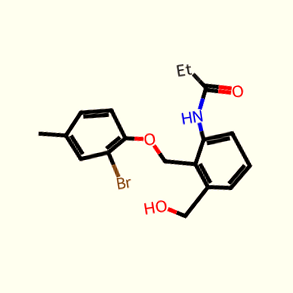 CCC(=O)Nc1cccc(CO)c1COc1ccc(C)cc1Br